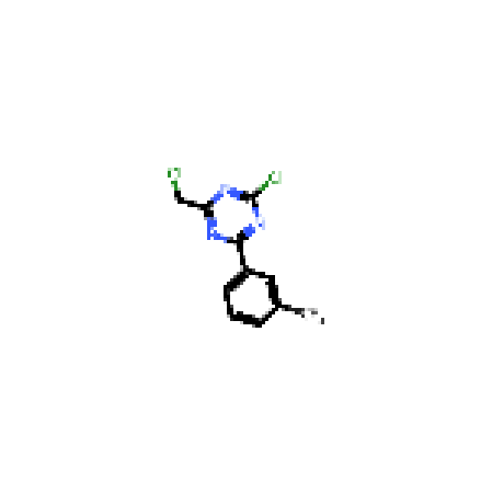 FC(F)(F)c1cccc(-c2nc(Cl)nc(CCl)n2)c1